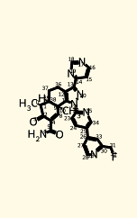 C[C@H]1C(=O)C(C(N)=O)=C[C@@]2(C)c3c(c(-c4ccncn4)nn3-c3ccc(-c4ccnc(CF)c4)cn3)CC[C@H]12